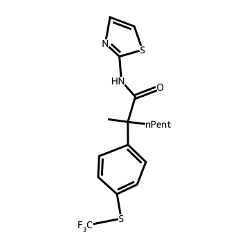 CCCCCC(C)(C(=O)Nc1nccs1)c1ccc(SC(F)(F)F)cc1